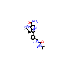 CC(C)NC(=O)NCc1cccc(-c2cc3c(N[C@H](C)C4CC4)c(C(N)=O)cnn3c2)c1